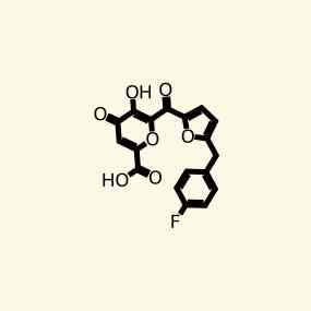 O=C(O)c1cc(=O)c(O)c(C(=O)c2ccc(Cc3ccc(F)cc3)o2)o1